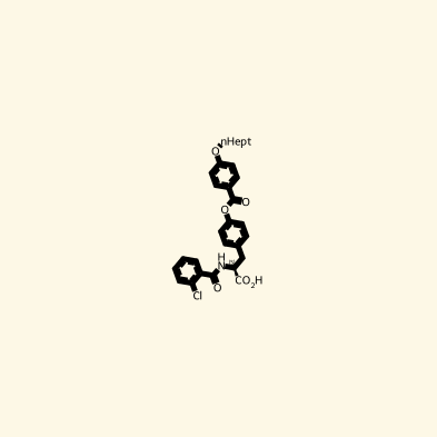 CCCCCCCOc1ccc(C(=O)Oc2ccc(C[C@H](NC(=O)c3ccccc3Cl)C(=O)O)cc2)cc1